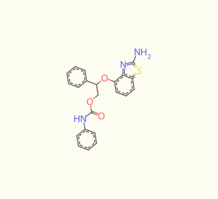 Nc1nc2c(OC(COC(=O)Nc3ccccc3)c3ccccc3)cccc2s1